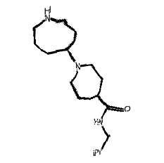 CC(C)CNC(=O)C1CCN([C@H]2CCCNCC2)CC1